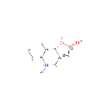 CCC(CC)N(C)CC1=CC(=O)OC1